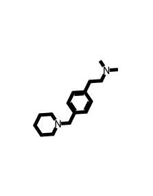 CN(C)CCc1ccc(CN2CCCCC2)cc1